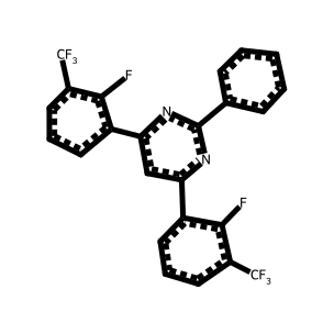 Fc1c(-c2cc(-c3cccc(C(F)(F)F)c3F)nc(-c3ccccc3)n2)cccc1C(F)(F)F